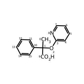 CC(Oc1ccccn1)(C(=O)O)c1ccccc1